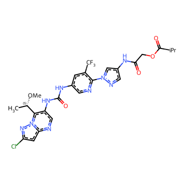 CO[C@@H](C)c1c(NC(=O)Nc2cnc(-n3cc(NC(=O)COC(=O)C(C)C)cn3)c(C(F)(F)F)c2)cnc2cc(Cl)nn12